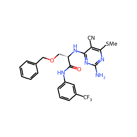 CSc1nc(N)nc(N[C@@H](COCc2ccccc2)C(=O)Nc2cccc(C(F)(F)F)c2)c1C#N